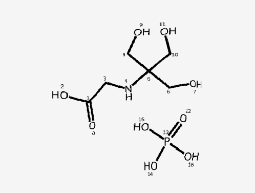 O=C(O)CNC(CO)(CO)CO.O=P(O)(O)O